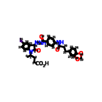 CC(CCC(=O)O)N1C(=O)C(=NNC(=O)c2ccc(NC(=O)CCc3ccc4c(c3)OCO4)cc2)c2cc(I)ccc21